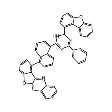 c1ccc(C2=NC(c3cccc4oc5ccccc5c34)NC(c3cccc4c(-c5cccc6oc7cc8ccccc8nc7c56)cccc34)=N2)cc1